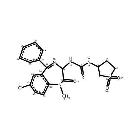 CN1C(=O)C(NC(=S)NC2CCS(=O)(=O)C2)N=C(c2ccccc2)c2cc(Cl)ccc21